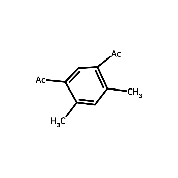 CC(=O)c1cc(C(C)=O)c(C)cc1C